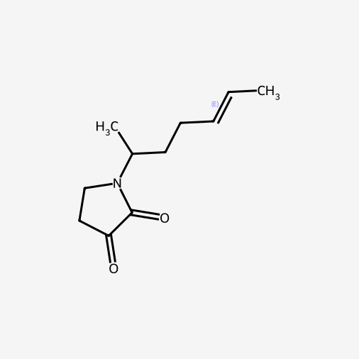 C/C=C/CCC(C)N1CCC(=O)C1=O